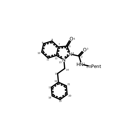 CCCCCNC(=O)n1c(=O)c2ccccc2n1CCc1ccccc1